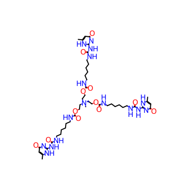 Cc1cc(=O)nc(NC(=O)NCCCCCCNC(=O)OCC[N+](C)(CCOC(=O)NCCCCCCNC(=O)Nc2nc(=O)cc(C)[nH]2)CCOC(=O)NCCCCCCNC(=O)Nc2nc(=O)cc(C)[nH]2)[nH]1